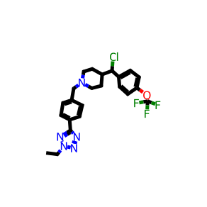 CCn1nnc(-c2ccc(CN3CCC(C(Cl)c4ccc(OC(F)(F)F)cc4)CC3)cc2)n1